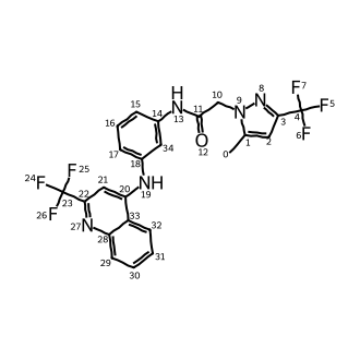 Cc1cc(C(F)(F)F)nn1CC(=O)Nc1cccc(Nc2cc(C(F)(F)F)nc3ccccc23)c1